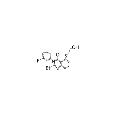 CCc1nc2cccc(SCCO)c2c(=O)n1-c1cccc(F)c1